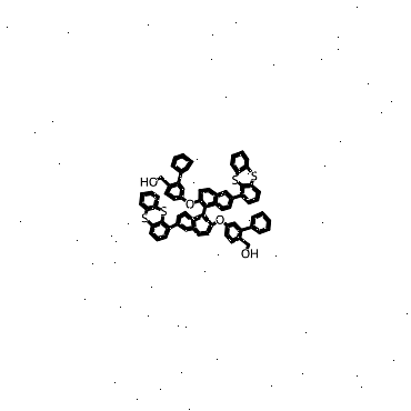 OCc1ccc(Oc2ccc3cc(-c4cccc5c4Sc4ccccc4S5)ccc3c2-c2c(Oc3ccc(CO)c(-c4ccccc4)c3)ccc3cc(-c4cccc5c4Sc4ccccc4S5)ccc23)cc1-c1ccccc1